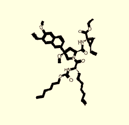 C=CCCCCC[C@H](NC(=O)OCCCCC=C)C(=O)N1C[C@](OC)(c2ccc3cc(OC)c(C=C)cc3c2)C[C@H]1C(=O)N[C@]1(C(=O)OCC)C[C@H]1C=C